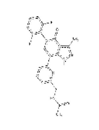 CC(=O)NCc1cccc(-c2cn(-c3c(F)cccc3F)c(=O)c3c(C)n[nH]c23)n1